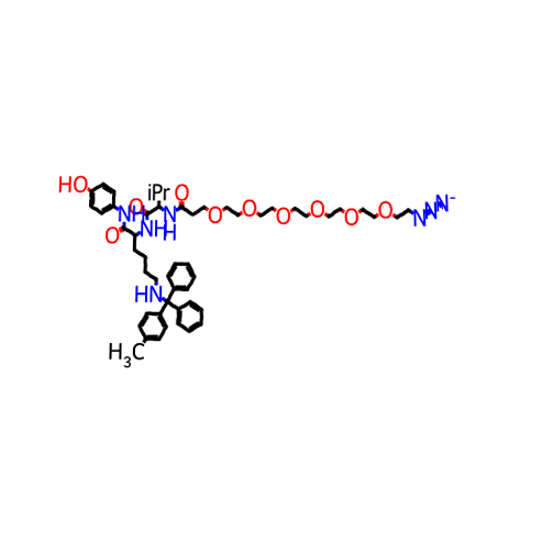 Cc1ccc(C(NCCCCC(NC(=O)C(NC(=O)CCOCCOCCOCCOCCOCCOCCN=[N+]=[N-])C(C)C)C(=O)Nc2ccc(O)cc2)(c2ccccc2)c2ccccc2)cc1